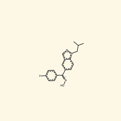 CC(C)Cn1ncc2cc(/C(=N/O)c3ccc(F)cc3)ccc21